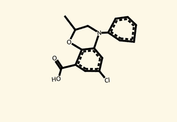 CC1CN(c2ccccc2)c2cc(Cl)cc(C(=O)O)c2O1